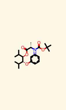 CC(C)[C@@H](OC(=O)[C@H](C)NC(=O)OC(C)(C)C)[C@H](Oc1ccccc1)C(C)C